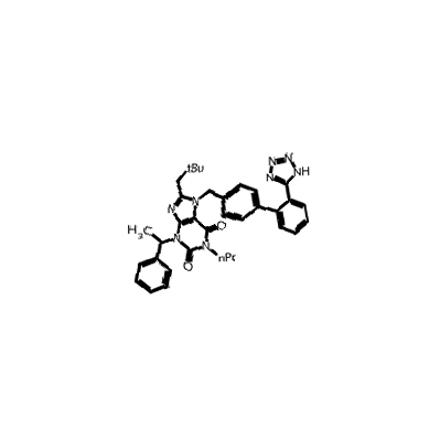 CCCn1c(=O)c2c(nc(CC(C)(C)C)n2Cc2ccc(-c3ccccc3-c3nnn[nH]3)cc2)n(C(C)c2ccccc2)c1=O